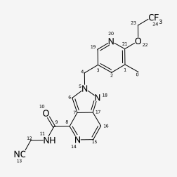 Cc1cc(Cn2cc3c(C(=O)NCC#N)nccc3n2)cnc1OCC(F)(F)F